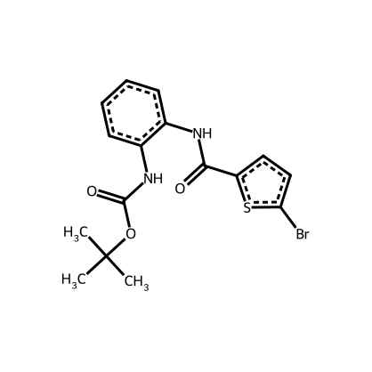 CC(C)(C)OC(=O)Nc1ccccc1NC(=O)c1ccc(Br)s1